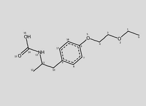 CCOCCOc1ccc(CC(C)NC(=O)O)cc1